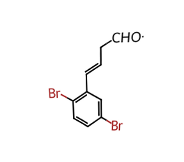 O=[C]C/C=C/c1cc(Br)ccc1Br